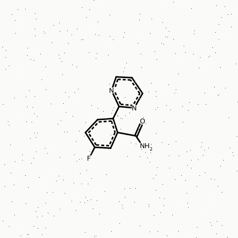 NC(=O)c1cc(F)ccc1-c1ncccn1